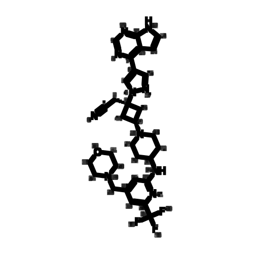 N#CC[C@]1(n2cc(-c3ncnc4[nH]ccc34)cn2)C[C@@H](N2CCC(Nc3cc(CN4CCOCC4)cc(C(F)(F)F)n3)CC2)C1